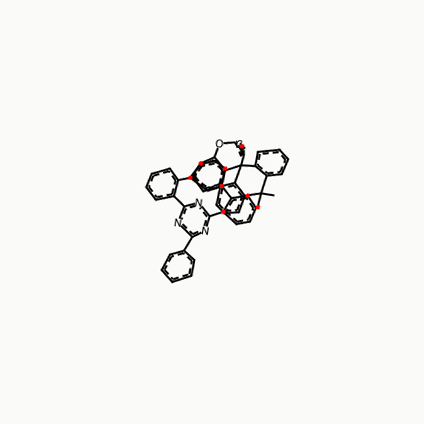 CC1(C)c2ccccc2C2(c3ccccc3Oc3cc(-c4ccccc4-c4nc(-c5ccccc5)nc(-c5ccccc5-c5ccccc5)n4)ccc32)c2ccccc21